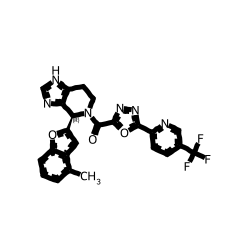 Cc1cccc2oc([C@H]3c4nc[nH]c4CCN3C(=O)c3nnc(-c4ccc(C(F)(F)F)cn4)o3)cc12